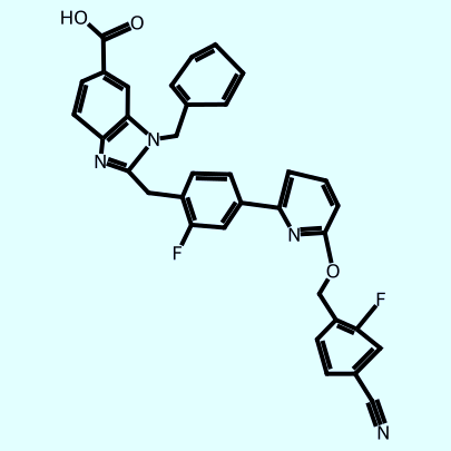 N#Cc1ccc(COc2cccc(-c3ccc(Cc4nc5ccc(C(=O)O)cc5n4Cc4ccccc4)c(F)c3)n2)c(F)c1